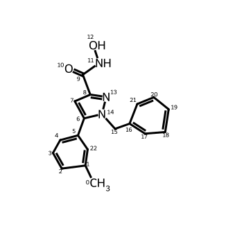 Cc1cccc(-c2cc(C(=O)NO)nn2Cc2ccccc2)c1